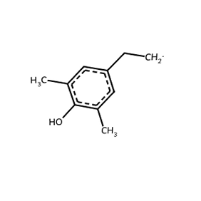 [CH2]Cc1cc(C)c(O)c(C)c1